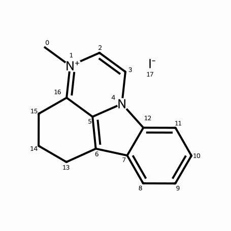 C[n+]1ccn2c3c(c4ccccc42)CCCc31.[I-]